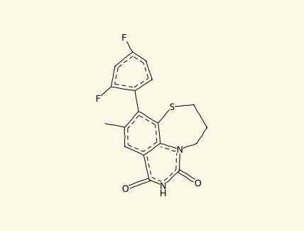 Cc1cc2c(=O)[nH]c(=O)n3c2c(c1-c1ccc(F)cc1F)SCCC3